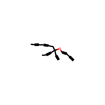 C#CC#COC(C#C)(C#CC)CC#CC#CC